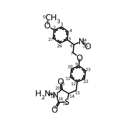 COc1ccc(C(COc2ccc(CC3SC(=O)N(N)C3=O)cc2)N=O)cc1